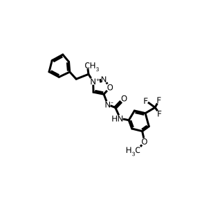 COc1cc(NC(=O)[N-]c2c[n+](C(C)Cc3ccccc3)no2)cc(C(F)(F)F)c1